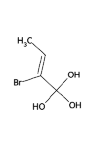 C/C=C(\Br)C(O)(O)O